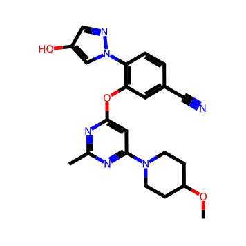 COC1CCN(c2cc(Oc3cc(C#N)ccc3-n3cc(O)cn3)nc(C)n2)CC1